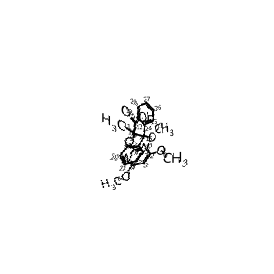 COc1cc(OC)nc(OC(C)(C(=O)O)C(OC)(c2ccccc2)c2ccccc2)n1